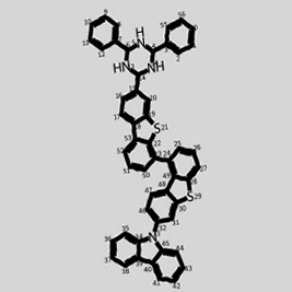 c1ccc(C2NC(c3ccccc3)NC(c3ccc4c(c3)sc3c(-c5cccc6sc7cc(-n8c9ccccc9c9ccccc98)ccc7c56)cccc34)N2)cc1